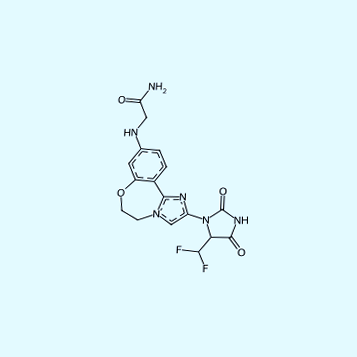 NC(=O)CNc1ccc2c(c1)OCCn1cc(N3C(=O)NC(=O)C3C(F)F)nc1-2